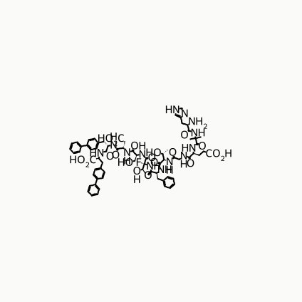 C[C@@H](O)[C@H](NC(=O)CNC(=O)[C@H](CCC(=O)O)NC(=O)C(C)(C)NC(=O)[C@@H](N)Cc1c[nH]cn1)C(=O)N[C@@H](Cc1ccccc1)C(=O)N[C@](F)(C(=O)N[C@@H](CO)C(=O)N[C@@H](CC(=O)O)C(=O)N[C@@H](Cc1ccc(-c2ccccc2)cc1)C(=O)N[C@@H](Cc1ccc(-c2ccccc2)cc1)C(=O)O)[C@@H](C)O